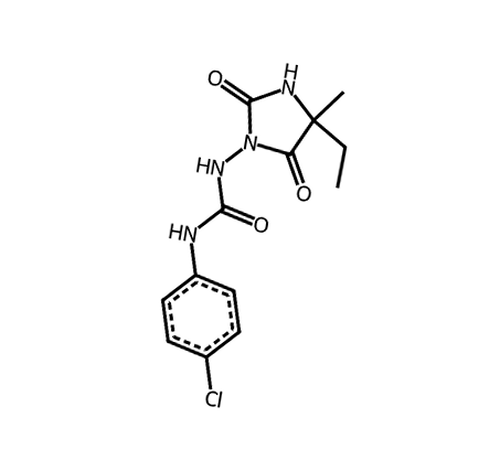 CCC1(C)NC(=O)N(NC(=O)Nc2ccc(Cl)cc2)C1=O